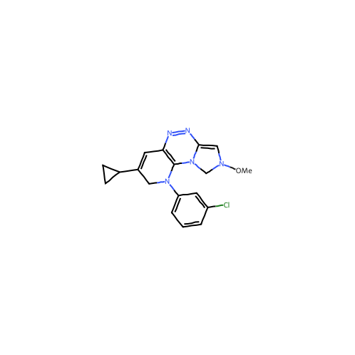 CON1C=C2N=NC3=C(N2C1)N(c1cccc(Cl)c1)CC(C1CC1)=C3